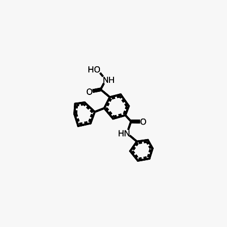 O=C(Nc1ccccc1)c1ccc(C(=O)NO)c(-c2ccccc2)c1